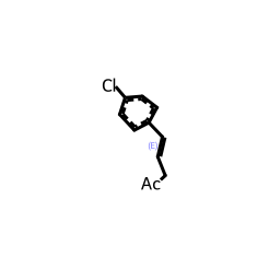 CC(=O)C/C=C/c1ccc(Cl)cc1